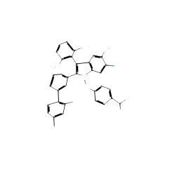 N#Cc1cccc(C#N)c1-c1c(-c2cccc(-c3ccc(C(=O)O)cc3Cl)c2)n(Sc2ccc(C(F)F)cc2)c2cc(F)c(O)cc12